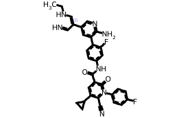 CCN/C=C(\C=N)c1cnc(N)c(-c2ccc(NC(=O)c3cc(C4CC4)c(C#N)n(-c4ccc(F)cc4)c3=O)cc2F)c1